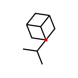 CC(C)CC1C2CCCC1C2